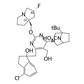 CC(C)(C)C12CCC(CN(c3nc(OC[C@@]45CCCN4C[C@H](F)C5)nc(CC4(O)CCc5c(Cl)cccc54)c3CO)C1)N2C(=O)O